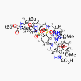 COc1ccc(CN(Cc2ccc(OC)cc2)S(=O)(=O)c2c(S(=O)(=O)NCC(CNC(=O)OC(C)(C)C)O[Si](C)(C)C(C)(C)C)ccc(N3CC[C@H](CNC(=O)O)[C@H](O)C3)c2-c2nnn(Cc3ccc(OC)cc3)n2)cc1